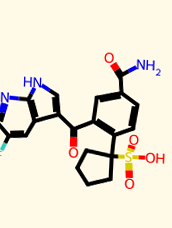 NC(=O)c1ccc(C2(S(=O)(=O)O)CCCC2)c(C(=O)c2c[nH]c3ncc(F)cc23)c1